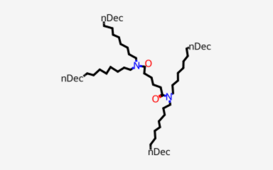 CCCCCCCCCCCCCCCCCCN(CCCCCCCCCCCCCCCCCC)C(=O)CCCCC(=O)N(CCCCCCCCCCCCCCCCCC)CCCCCCCCCCCCCCCCCC